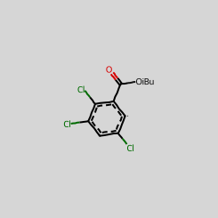 CC(C)COC(=O)c1[c]c(Cl)cc(Cl)c1Cl